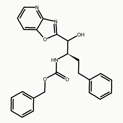 O=C(N[C@H](CCc1ccccc1)C(O)c1nc2ncccc2o1)OCc1ccccc1